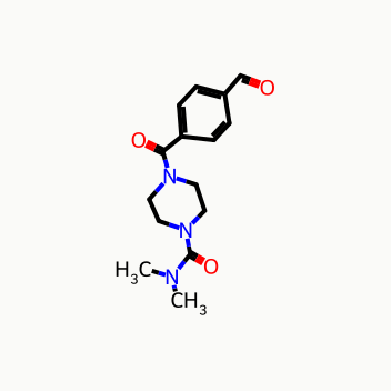 CN(C)C(=O)N1CCN(C(=O)c2ccc(C=O)cc2)CC1